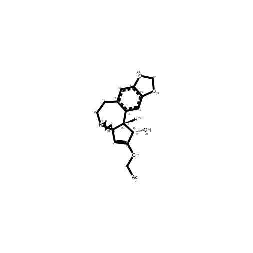 CC(=O)COC1=C[C@]23CCCN2CCc2cc4c(cc2[C@@H]3[C@@H]1O)OCO4